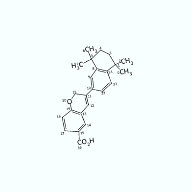 CC1(C)CCC(C)(C)c2cc(C3=Cc4cc(C(=O)O)ccc4OC3)ccc21